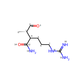 C[C@H](C=O)C(CCCNC(=N)N)C(N)=O